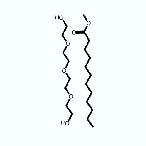 CCCCCCCCCCCC(=O)OC.OCCOCCOCCOCCO